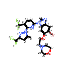 Cc1cc(C(F)F)nn1-c1nc(-n2cnc3cc(Br)c(OCCN4CCOCC4)cc32)ccc1C(F)F